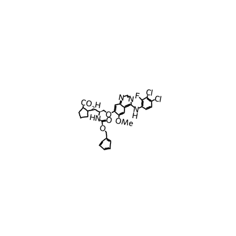 COc1cc2c(Nc3ccc(Cl)c(Cl)c3F)ncnc2cc1OC[C@H](CC1CCCC1C(=O)O)NC(=O)OCc1ccccc1